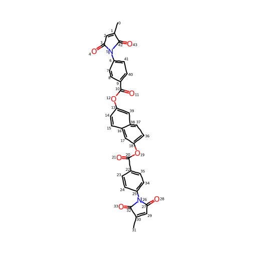 CC1=CC(=O)N(c2ccc(C(=O)Oc3ccc4cc(OC(=O)c5ccc(N6C(=O)C=C(C)C6=O)cc5)ccc4c3)cc2)C1=O